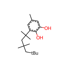 Cc1cc(O)c(O)c(C(C)(C)CC(C)(C)CC(C)(C)C)c1